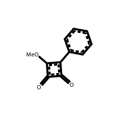 COc1c(-c2ccccc2)c(=O)c1=O